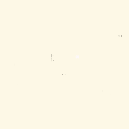 Cc1cccc(/C(=C\C(=O)Nc2ccc3c(c2)OCCO3)c2ccc(C(C)(C)C)cc2)c1